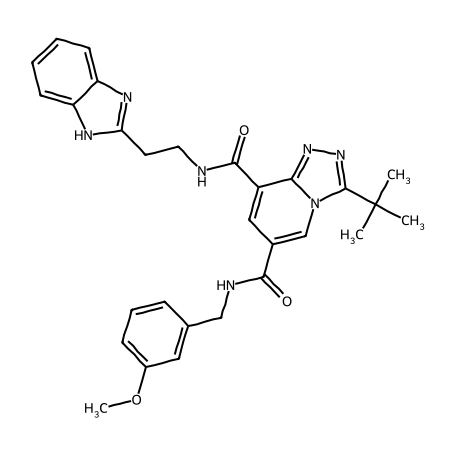 COc1cccc(CNC(=O)c2cc(C(=O)NCCc3nc4ccccc4[nH]3)c3nnc(C(C)(C)C)n3c2)c1